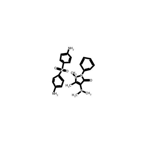 Cc1c(N(C)C)c(=O)n(-c2ccccc2)n1C.Nc1ccc(S(=O)(=O)c2ccc(N)cc2)cc1